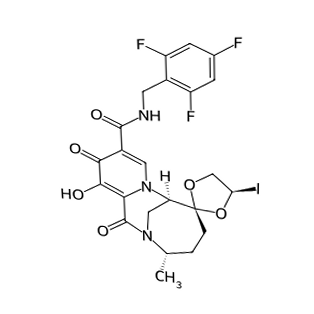 C[C@H]1CC[C@]2(OC[C@@H](I)O2)[C@H]2CN1C(=O)c1c(O)c(=O)c(C(=O)NCc3c(F)cc(F)cc3F)cn12